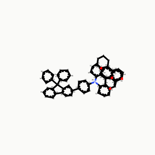 C1=c2cccc(C3CCCCC3)c2=C(c2ccccc2N(c2ccc(-c3ccc4c(c3)C(c3ccccc3)(c3ccccc3)c3ccccc3-4)cc2)c2ccccc2-c2cccc3ccccc23)CC1